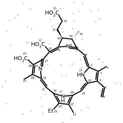 C=Cc1c(C)c2cc3nc(c(C(=O)O)c4nc(cc5[nH]c(cc1[nH]2)c(C)c5CC)C(C)=C4C(=O)O)[C@@H](CCC(=O)O)[C@@H]3C